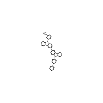 N#Cc1cccc(C2c3ccccc3-c3cc(-c4ccc5c(c4)c4ccccc4n5-c4ccc(-c5ccccc5)cc4)ccc32)c1